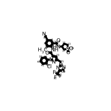 Cc1cc(C#N)cc(C(=O)NC2CCS(=O)(=O)C2)c1NC(=O)c1cc(Cn2nnc(C(F)(F)F)n2)nn1-c1ccccc1Cl